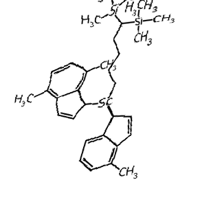 Cc1cccc2c1C=C[CH]2[Sc]([CH2]CCC[C]([Si](C)(C)C)[Si](C)(C)C)[CH]1C=Cc2c(C)ccc(C)c21